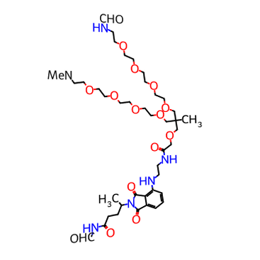 CNCCOCCOCCOCCOCC(C)(COCCOCCOCCOCCNC=O)COCC(=O)NCCNc1cccc2c1C(=O)N(C(C)CCC(=O)NC=O)C2=O